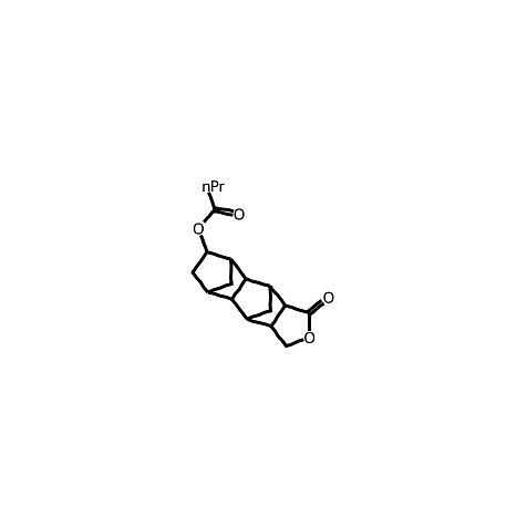 CCCC(=O)OC1CC2CC1C1C3CC(C4COC(=O)C43)C21